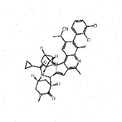 Cc1nc2c(F)c(-c3cccc(Cl)c3Cl)c(C(C)C#N)cc2c2c1cc([C@H]1[C@H]3C[C@H](CN(C)C3=O)N1C(=O)C1CC1)n2[C@H]1[C@H]2CN[C@@H]1C2